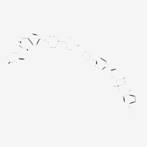 CC1(C)C(NC(=O)c2ccc(N3CC[C@H](CN4CCN(C5CCN(c6ccc7nnn(C8CCC(=O)NC8=O)c(=O)c7c6)CC5)CC4)C3)nc2)C(C)(C)C1Oc1ccc(C#N)c(Cl)c1